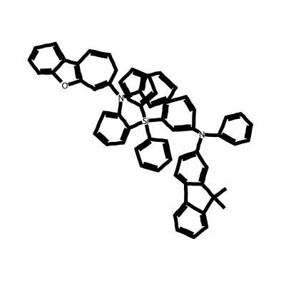 CC1(C)c2ccccc2-c2ccc(N(c3ccccc3)c3cccc([Si](c4ccccc4)(c4ccccc4)c4ccccc4N(C4=Cc5oc6ccccc6c5C=CC4)c4ccccc4)c3)cc21